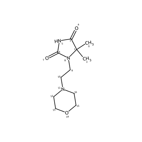 CC1(C)C(=O)NC(=O)N1CCN1CCOCC1